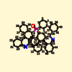 O=P(c1ccccc1)(c1cc2c(-c3ccccc3)nc3ccccc3c2c2ccccc12)c1cc2c(-c3ccccc3)nc3ccccc3c2c2ccccc12